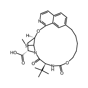 CSC1[C@H]2C[C@@H](C(=O)O)N1C(=O)[C@H](C(C)(C)C)NC(=O)OCCCCCc1ccc3ccnc(c3c1)O2